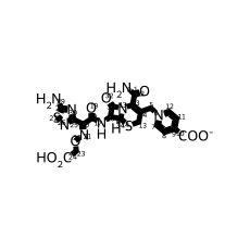 NC(=O)C1=C(C[n+]2ccc(C(=O)[O-])cc2)CS[C@H]2C(NC(=O)C(=NOCC(=O)O)c3nsc(N)n3)C(=O)N12